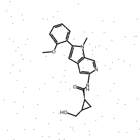 COc1ccccc1-c1cc2cc(NC(=O)[C@H]3CC3CO)ncc2n1C